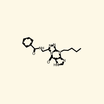 CCCCCn1c2nc[nH]c2c(=O)n2c(CNC(=O)c3ccccc3)nnc12